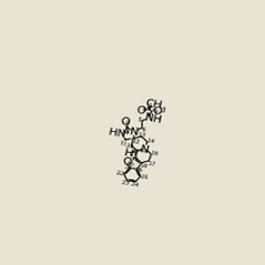 CS(=O)(=O)NCCN1C(=O)NC[C@]12CCN1CCc3c(oc4ccccc34)[C@@H]1C2